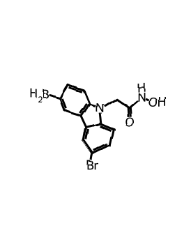 Bc1ccc2c(c1)c1cc(Br)ccc1n2CC(=O)NO